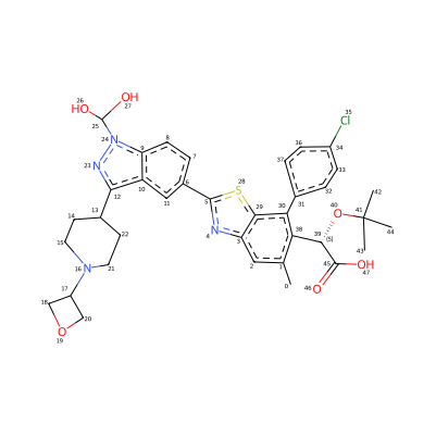 Cc1cc2nc(-c3ccc4c(c3)c(C3CCN(C5COC5)CC3)nn4C(O)O)sc2c(-c2ccc(Cl)cc2)c1[C@H](OC(C)(C)C)C(=O)O